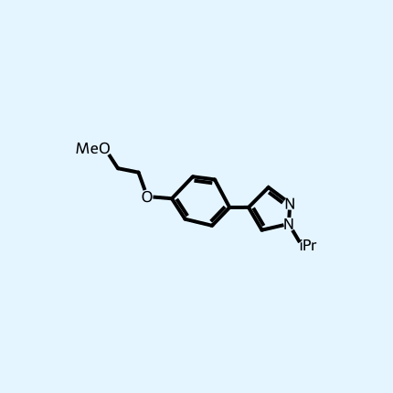 COCCOc1ccc(-c2cnn(C(C)C)c2)cc1